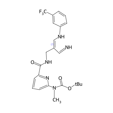 CN(C(=O)OC(C)(C)C)c1cccc(C(=O)NC/C(C=N)=C/Nc2cccc(C(F)(F)F)c2)n1